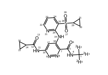 [2H]C([2H])([2H])NC(=O)c1nnc(NC(=O)C2CC2)cc1Nc1ncccc1S(=O)(=O)C1CC1